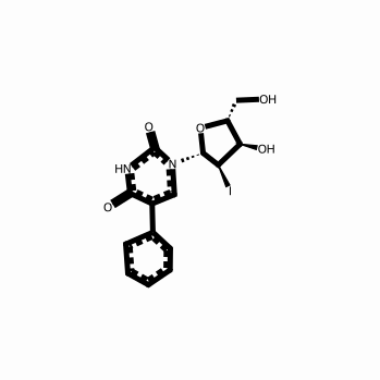 O=c1[nH]c(=O)n([C@@H]2O[C@H](CO)[C@@H](O)[C@H]2I)cc1-c1ccccc1